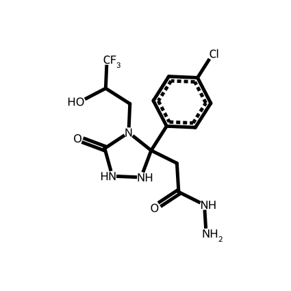 NNC(=O)CC1(c2ccc(Cl)cc2)NNC(=O)N1CC(O)C(F)(F)F